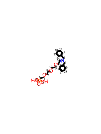 O=P(O)(O)CCOCCOCCOCCN(Cc1ccccc1)Cc1ccccc1